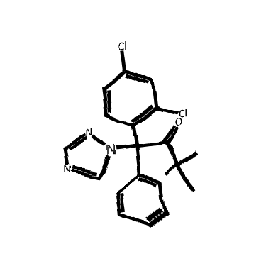 CC(C)(C)C(=O)C(c1ccccc1)(c1ccc(Cl)cc1Cl)n1cncn1